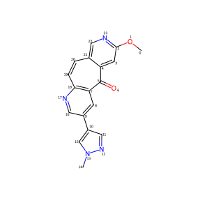 COc1cc2c(=O)c3cc(-c4cnn(C)c4)cnc3ccc2cn1